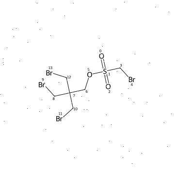 O=S(=O)(CBr)OCC(CBr)(CBr)CBr